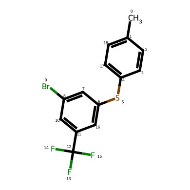 Cc1ccc(Sc2cc(Br)cc(C(F)(F)F)c2)cc1